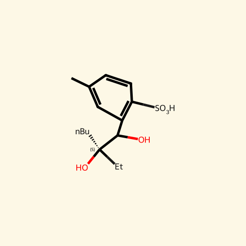 CCCC[C@@](O)(CC)C(O)c1cc(C)ccc1S(=O)(=O)O